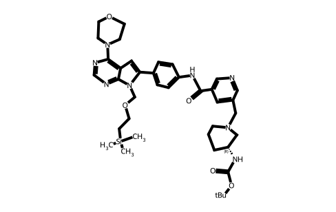 CC(C)(C)OC(=O)N[C@@H]1CCCN(Cc2cncc(C(=O)Nc3ccc(-c4cc5c(N6CCOCC6)ncnc5n4COCC[Si](C)(C)C)cc3)c2)C1